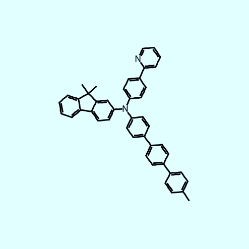 Cc1ccc(-c2ccc(-c3ccc(N(c4ccc(-c5ccccn5)cc4)c4ccc5c(c4)C(C)(C)c4ccccc4-5)cc3)cc2)cc1